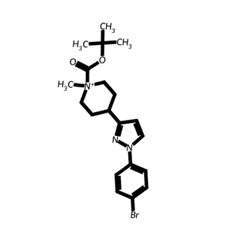 CC(C)(C)OC(=O)[N+]1(C)CCC(c2ccn(-c3ccc(Br)cc3)n2)CC1